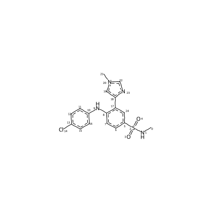 CNS(=O)(=O)c1ccc(Nc2ccc(Cl)cc2)c(-c2cn(C)cn2)c1